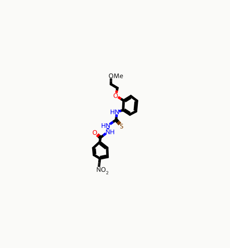 COCCOc1ccccc1NC(=S)NNC(=O)c1ccc([N+](=O)[O-])cc1